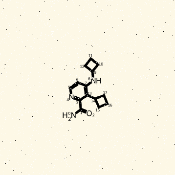 NC(=O)c1nccc(NC2CCC2)c1C1CCC1